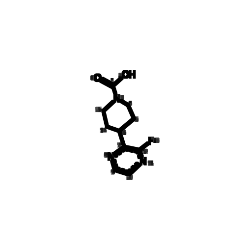 O=C(O)N1CCC(c2nccnc2F)CC1